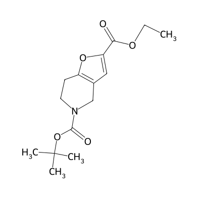 CCOC(=O)c1cc2c(o1)CCN(C(=O)OC(C)(C)C)C2